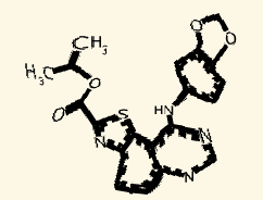 CC(C)OC(=O)c1nc2ccc3ncnc(Nc4ccc5c(c4)OCO5)c3c2s1